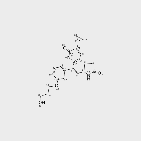 O=C1CC[C@H](/C=C(/c2cccc(OCCCO)c2)c2ccc(C3CC3)c(=O)[nH]2)N1